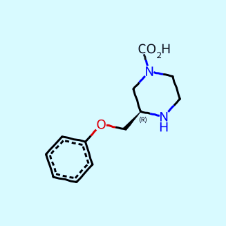 O=C(O)N1CCN[C@@H](COc2ccccc2)C1